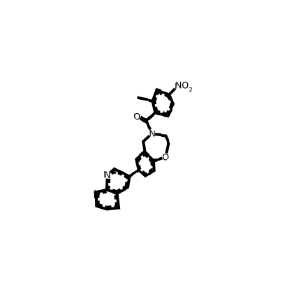 Cc1cc([N+](=O)[O-])ccc1C(=O)N1CCOc2ccc(-c3cnc4ccccc4c3)cc2C1